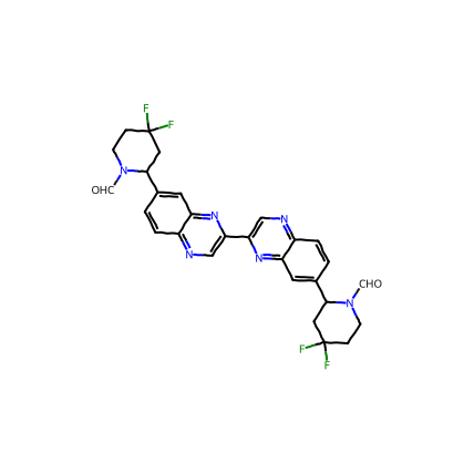 O=CN1CCC(F)(F)CC1c1ccc2ncc(-c3cnc4ccc(C5CC(F)(F)CCN5C=O)cc4n3)nc2c1